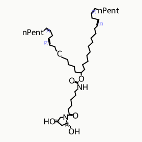 CCCCC/C=C\C/C=C\CCCCCCCCCCC(CCCCCCCC/C=C\C/C=C\CCCCC)OC(=O)NCCCCCC(=O)N1C[C@H](O)C[C@H]1CO